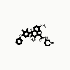 Cc1c(Oc2ccccc2)ccc(C2(N)C(=O)C(N)c3c(C(=O)NC4CCCN(C)C4)sc4c(N)ccc2c34)c1C